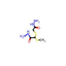 CSC(SCC(=O)NN)C(=O)NN